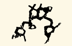 Cc1c2c(cn(Cc3ccc(F)cc3F)c1=O)N(C(=O)CN1CCN[C@H](C)C1)CC2(C)C